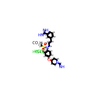 Cl.Cl.N=CN1CCC(Oc2ccc(N(C/C=C/c3cccc(C(=N)N)c3)S(=O)(=O)CC(=O)O)c(Cl)c2)CC1